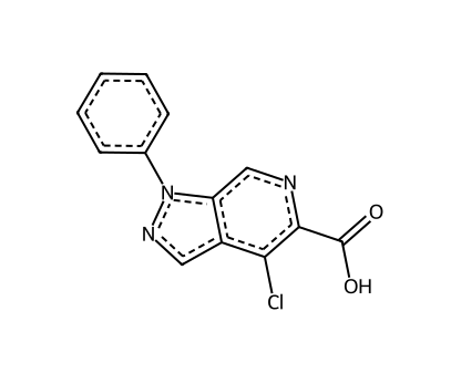 O=C(O)c1ncc2c(cnn2-c2ccccc2)c1Cl